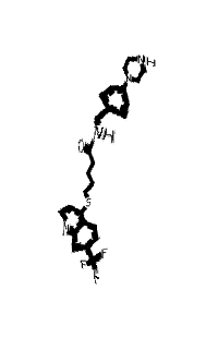 O=C(CCCCSc1ccnc2cc(C(F)(F)F)ccc12)NCc1ccc(N2CCNCC2)cc1